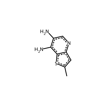 Cc1cc2ncc(N)c(N)c2s1